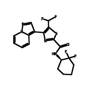 O=C(N[C@@H]1CCCCC1(F)F)c1nc(-c2cnn3ccccc23)c(C(F)F)s1